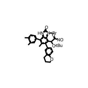 Cc1ccc(-c2c(C)c(-c3ccc4c(c3)CCCO4)c(C(OC(C)(C)C)C(=O)N=O)c3c2[nH]c(=O)n3C(C)C)cc1C